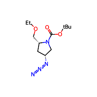 CCOC[C@H]1C[C@@H](N=[N+]=[N-])CN1C(=O)OC(C)(C)C